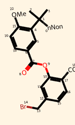 CCCCCCCCCC(C)(C)c1cc(C(=O)Oc2cc(CBr)ccc2C(=O)O)ccc1OC